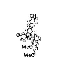 COCCOc1cc2ncnc(Nc3ccc(Oc4cccc(C)c4)cc3C3=CC(=O)C=CC3=O)c2cc1OC